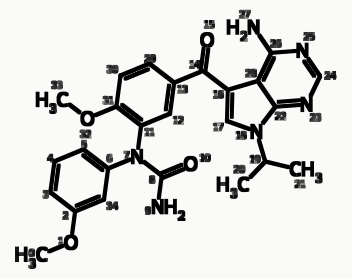 COc1cccc(N(C(N)=O)c2cc(C(=O)c3cn(C(C)C)c4ncnc(N)c34)ccc2OC)c1